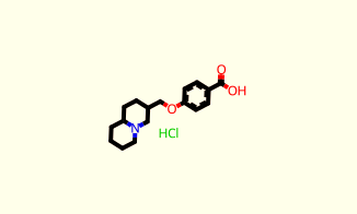 Cl.O=C(O)c1ccc(OCC2CCC3CCCCN3C2)cc1